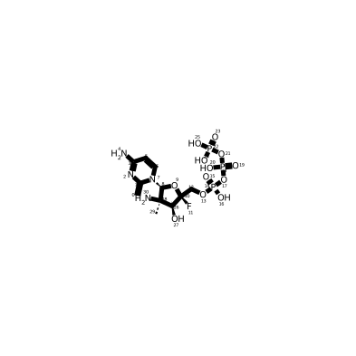 C=C1N=C(N)C=CN1[C@@H]1O[C@](F)(COP(=O)(O)OP(=O)(O)OP(=O)(O)O)[C@@H](O)[C@@]1(C)N